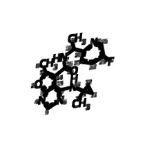 Cc1oc2ncnc(NC3(C)CC3)c2c1C(=O)NC(C)c1ccc(F)cn1